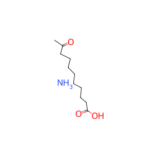 CC(=O)CCCCCCCCC(=O)O.N